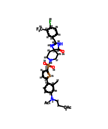 CC(=O)OCCN(C(C)=O)c1ccc(-c2ccc(S(=O)(=O)N3CCC4(CC3)N=C(c3ccc(F)c(C(F)(F)F)c3)NC4=O)s2)c(C)c1